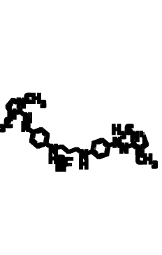 Cn1cc[n+](C)c1N=Nc1ccc(NCCCNc2ccc(N=Nc3n(C)cc[n+]3C)cc2)cc1.[Br-].[Br-]